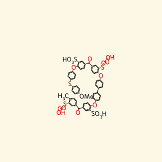 COc1ccc(Sc2ccc(Oc3ccc(C(=O)c4ccc(Oc5ccc(-c6ccc(Oc7ccc(C(=O)c8ccc(C)c(SOOO)c8)cc7S(=O)(=O)O)cc6)cc5)c(SOOO)c4)cc3S(=O)(=O)O)cc2)cc1